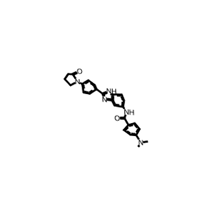 CN(C)c1ccc(C(=O)Nc2ccc3[nH]c(-c4ccc(N5CCCC5=O)cc4)nc3c2)cc1